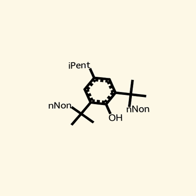 CCCCCCCCCC(C)(C)c1cc(C(C)CCC)cc(C(C)(C)CCCCCCCCC)c1O